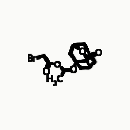 CC(OC(=O)CBr)OC12CC3CC(C1)OC(=O)C(C3)C2